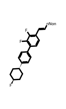 CCCCCCCCCC=Cc1ccc(-c2ccc([C@H]3CC[C@H](F)CC3)cc2)c(F)c1F